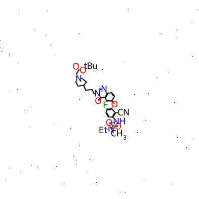 CCN(C)S(=O)(=O)Nc1ccc(F)c(Oc2ccc3ncn(CCCC4CCN(CC(=O)OC(C)(C)C)CC4)c(=O)c3c2)c1C#N